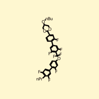 CCCCOC1COC(c2ccc(-c3cc(F)c(C(F)(F)Oc4ccc(-c5cc(F)c(CCC)c(F)c5)c(F)c4)c(F)c3)c(F)c2)OC1